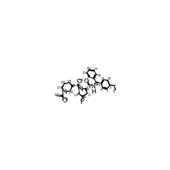 CCc1ccc([C@@H](NC(=O)[C@@H]2C[C@@H](F)CN2C(=O)[C@H]2CCCN(C(C)=O)C2)c2ccccc2)cc1